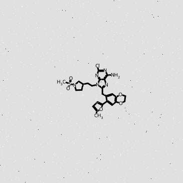 Cc1ccc(-c2cc3c(cc2Cc2nc4c(N)nc(Cl)nc4n2CCC2CCN(S(C)(=O)=O)C2)OCCO3)o1